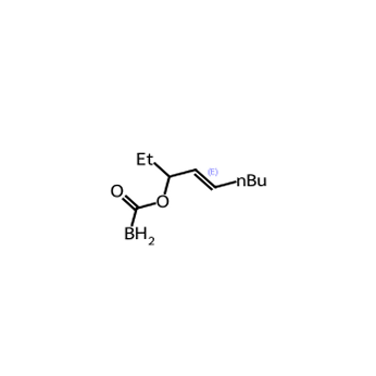 BC(=O)OC(/C=C/CCCC)CC